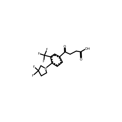 O=C(O)CCC(=O)c1ccc(N2CCC(F)(F)C2)c(C(F)(F)F)c1